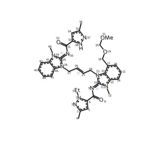 CCn1nc(C)cc1C(=O)/N=c1\n(C)c2cccc(COCOC)c2n1C/C=C/Cn1/c(=N/C(=O)c2cc(C)n[nH]2)n(C)c2ccccc21